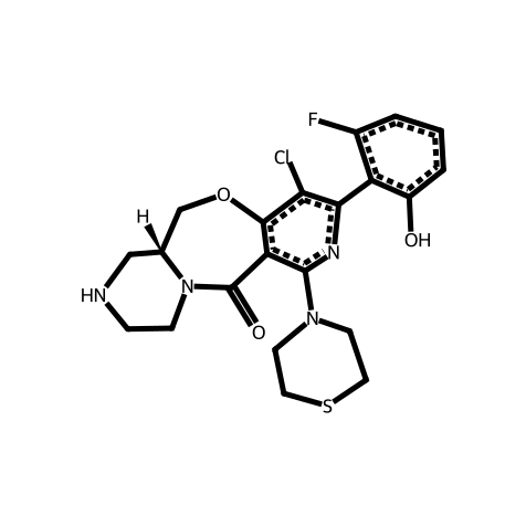 O=C1c2c(N3CCSCC3)nc(-c3c(O)cccc3F)c(Cl)c2OC[C@H]2CNCCN12